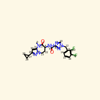 CN1C(=O)C(NC(=O)c2ncn(Cc3cccc(F)c3F)n2)CCn2nc(C3CC3)cc21